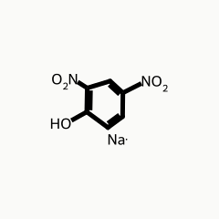 O=[N+]([O-])c1ccc(O)c([N+](=O)[O-])c1.[Na]